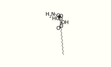 CCCCCCCCCCCCCCCC(=O)OC[C@H](O)COP(=O)(O)OCCN